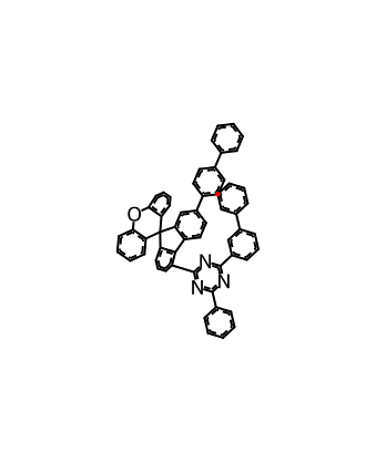 c1ccc(-c2ccc(-c3ccc4c(c3)C3(c5ccccc5Oc5ccccc53)c3cccc(-c5nc(-c6ccccc6)nc(-c6cccc(-c7ccccc7)c6)n5)c3-4)cc2)cc1